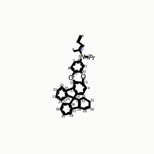 C=C/C=C(\C)N(c1ccc2c(c1)Oc1ccc3c(c1O2)-c1ccccc1C31C2=C(C=CCC2)c2ccccc21)C(C)C